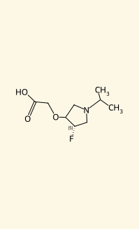 CC(C)N1CC(OCC(=O)O)[C@@H](F)C1